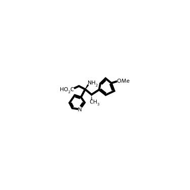 COc1ccc([C@H](C)[C@@](N)(CC(=O)O)c2cccnc2)cc1